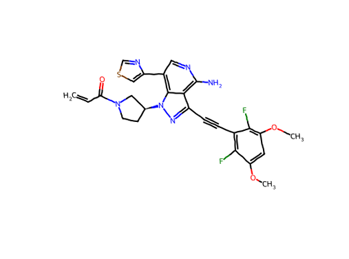 C=CC(=O)N1CC[C@H](n2nc(C#Cc3c(F)c(OC)cc(OC)c3F)c3c(N)ncc(-c4cscn4)c32)C1